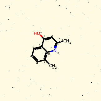 Cc1cc(O)c2cccc(C)c2n1